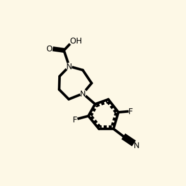 N#Cc1cc(F)c(N2CCCN(C(=O)O)CC2)cc1F